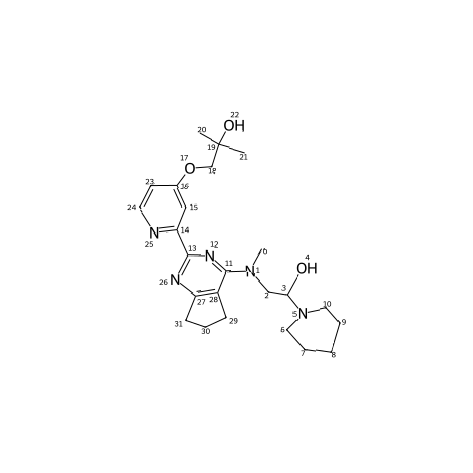 CN(CC(O)N1CCCCC1)c1nc(-c2cc(OCC(C)(C)O)ccn2)nc2c1CCC2